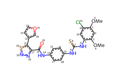 COc1cc(OC)c(NC(=S)Nc2ccc(NC(=O)c3nnsc3-c3ccoc3)cc2)cc1Cl